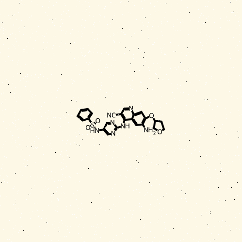 N#Cc1cnc2cc(OC3CCOC3)c(N)cc2c1Nc1ncc(NS(=O)(=O)c2ccccc2)cn1